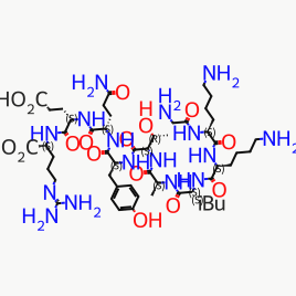 CC[C@H](C)[C@H](NC(=O)[C@H](CCCCN)NC(=O)[C@H](CCCCN)NC(=O)CN)C(=O)N[C@@H](C)C(=O)N[C@H](C(=O)N[C@@H](Cc1ccc(O)cc1)C(=O)N[C@@H](CCC(N)=O)C(=O)N[C@@H](CCC(=O)O)C(=O)N[C@@H](CCCN=C(N)N)C(=O)O)[C@@H](C)O